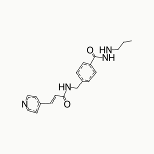 CCCNNC(=O)c1ccc(CNC(=O)/C=C/c2ccncc2)cc1